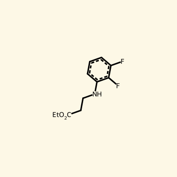 CCOC(=O)CCNc1cccc(F)c1F